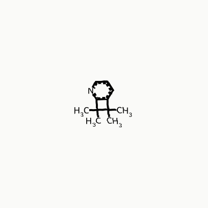 CC1(C)c2cccnc2C1(C)C